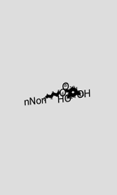 CCCCCCCCCCCCCCOC(=O)c1ccc(O)cc1O